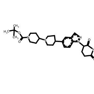 CC(C)(C)OC(=O)N1CCC(N2CCC(c3ccc4c(cnn4C4CCC(=O)NC4=O)c3)CC2)CC1